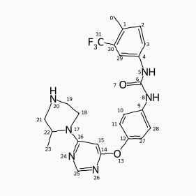 Cc1ccc(NC(=O)Nc2ccc(Oc3cc(N4CCNCC4C)ncn3)cc2)cc1C(F)(F)F